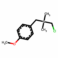 COc1ccc(C[Si](C)(C)CCl)cc1